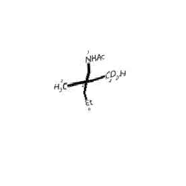 CCC(C)(NC(C)=O)C(=O)O